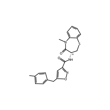 Cc1ccc(Cc2cc(C(=O)N[C@H]3CSc4ccccc4N(C)C3=O)no2)cc1